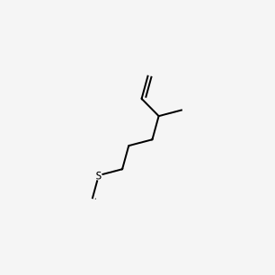 [CH2]SCCCC(C)C=C